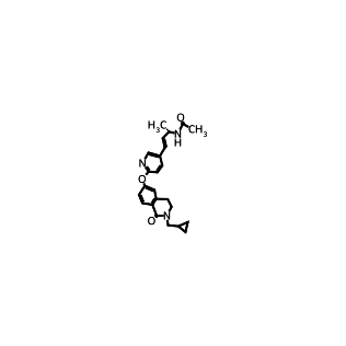 CC(=O)N[C@@H](C)/C=C/c1ccc(Oc2ccc3c(c2)CCN(CC2CC2)C3=O)nc1